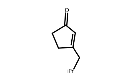 CC(C)CC1=CC(=O)CC1